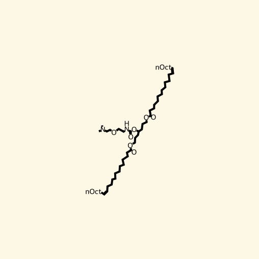 CCCCCCCC/C=C\CCCCCCCCCCCC(=O)OCCCC(CCCOC(=O)CCCCCCCCCCC/C=C\CCCCCCCC)OC(=O)NCCOCCN(C)C